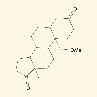 COCC12CCC(=O)CC1CCC1C3CCC(=O)C3(C)CCC12